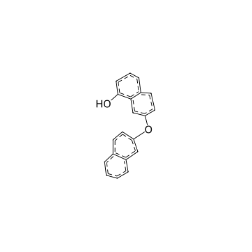 Oc1cccc2ccc(Oc3ccc4ccccc4c3)cc12